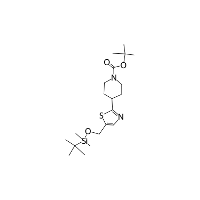 CC(C)(C)OC(=O)N1CCC(c2ncc(CO[Si](C)(C)C(C)(C)C)s2)CC1